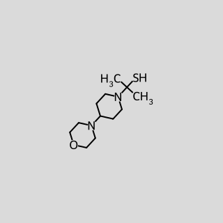 CC(C)(S)N1CCC(N2CCOCC2)CC1